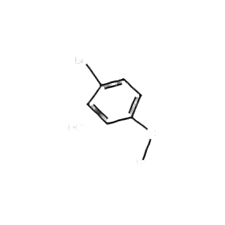 Cl.[Ti][O]c1ccc(Br)cc1